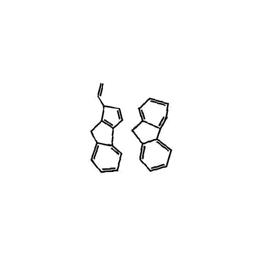 C=C[C]1C=CC2=C1Cc1ccccc12.c1ccc2c(c1)Cc1ccccc1-2